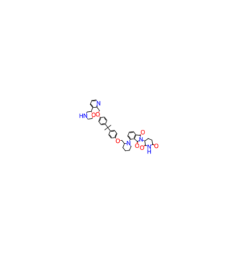 CC(C)(c1ccc(OCc2ncccc2C2CNCCO2)cc1)c1ccc(OCC2CCCCN2c2cccc3c2C(=O)N(C2CCC(=O)NC2=O)C3=O)cc1